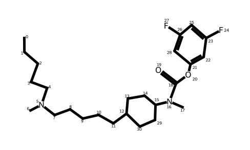 CCCCCN(C)CCCCCC1CCC(N(C)C(=O)Oc2cc(F)cc(F)c2)CC1